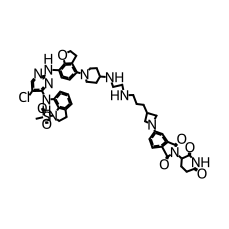 CS(=O)(=O)N1CCc2cccc(Nc3nc(Nc4ccc(N5CCC(NCCNCCCC6CN(c7ccc8c(c7)C(=O)N(C7CCC(=O)NC7=O)C8=O)C6)CC5)c5c4OCC5)ncc3Cl)c21